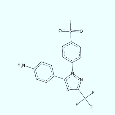 CS(=O)(=O)c1ccc(-n2nc(C(F)(F)F)nc2-c2ccc(N)cc2)cc1